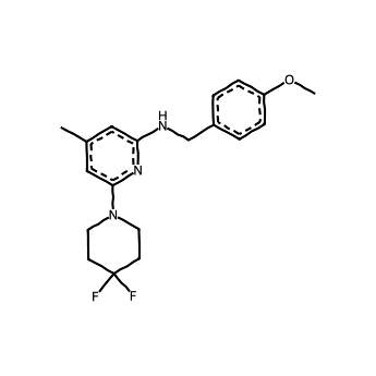 COc1ccc(CNc2cc(C)cc(N3CCC(F)(F)CC3)n2)cc1